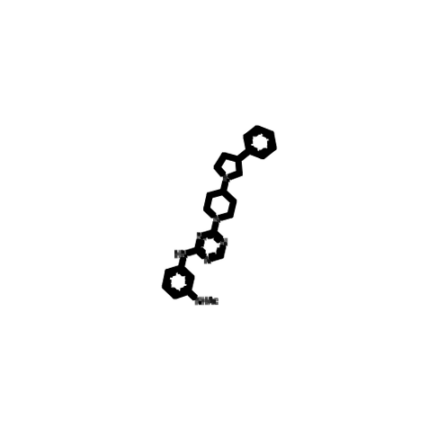 CC(=O)Nc1cccc(Nc2ncnc(N3CCC(N4CCC(c5ccccc5)C4)CC3)n2)c1